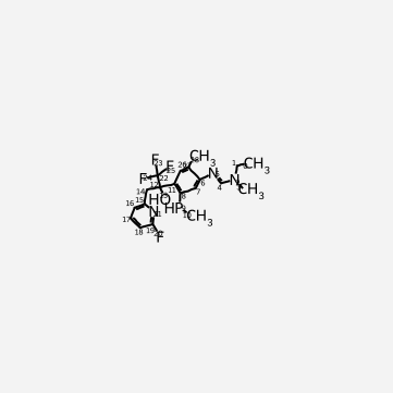 CCN(C)/C=N/c1cc(PC)c(C(O)(Cc2cccc(F)n2)C(F)(F)F)cc1C